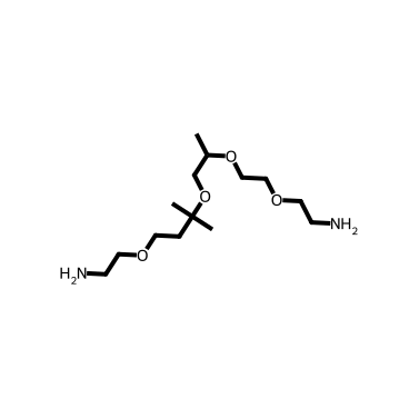 CC(COC(C)(C)CCOCCN)OCCOCCN